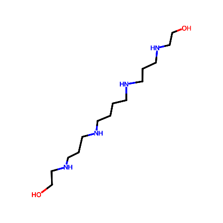 OCCNCCCNCCCCNCCCNCCO